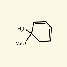 COC1(P)C=CC=CC1